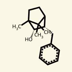 CC1(C)C2CCC1(C)[C@@H](O)[C@H]2Cc1ccccc1